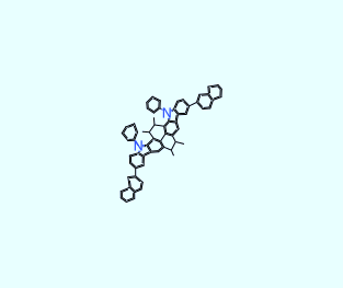 CC1c2cc3c4cc(-c5ccc6ccccc6c5)ccc4n(-c4ccccc4)c3c3c2-c2c(cc4c5cc(-c6ccc7ccccc7c6)ccc5n(-c5ccccc5)c4c2C(C)C3C)C1C